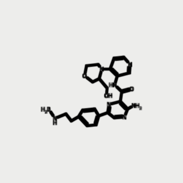 BNCCc1ccc(-c2cnc(N)c(C(=O)Nc3cnccc3N3CCOCC3CO)n2)cc1